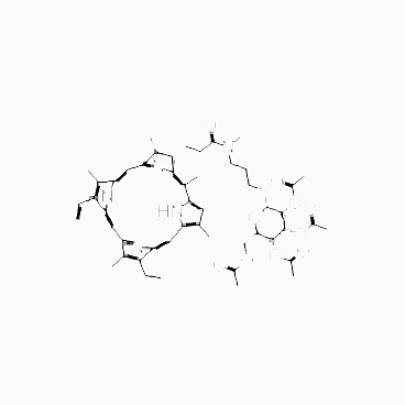 C=Cc1c(C)c2cc3nc(c(C)c4cc(C)c(cc5nc(cc1[nH]2)C(C)=C5CC)[nH]4)[C@@H](CCC(=O)N(C)CCCS[C@@H]1O[C@H](COC(C)=O)[C@@H](OC(C)=O)[C@H](OC(C)=O)[C@@H]1OC(C)=O)[C@@H]3C